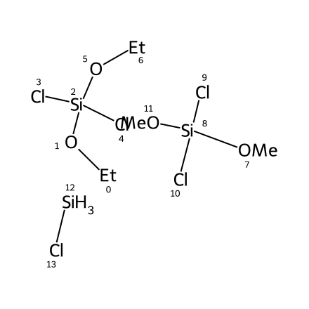 CCO[Si](Cl)(Cl)OCC.CO[Si](Cl)(Cl)OC.[SiH3]Cl